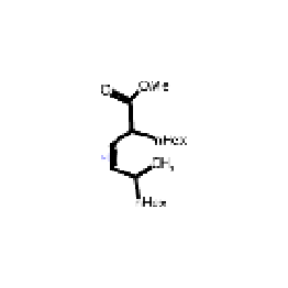 CCCCCCC(C)/C=C\C(CCCCCC)C(=O)OC